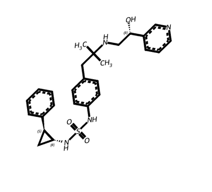 CC(C)(Cc1ccc(NS(=O)(=O)N[C@@H]2C[C@H]2c2ccccc2)cc1)NC[C@H](O)c1cccnc1